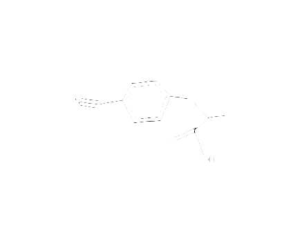 CC(Sc1ccc(C#N)cc1)C(=O)O